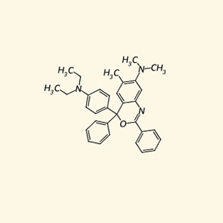 CCN(CC)c1ccc(C2(c3ccccc3)OC(c3ccccc3)=Nc3cc(N(C)C)c(C)cc32)cc1